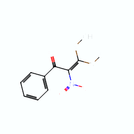 CSC(SC)=C(C(=O)c1ccccc1)[N+](=O)[O-]